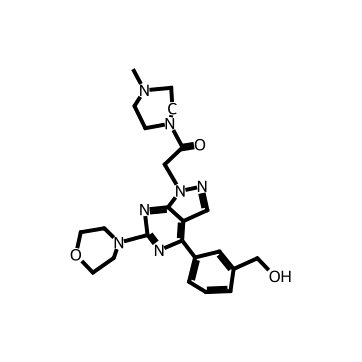 CN1CCN(C(=O)Cn2ncc3c(-c4cccc(CO)c4)nc(N4CCOCC4)nc32)CC1